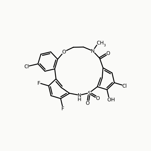 CN1CCOc2ccc(Cl)cc2-c2cc(c(F)cc2F)NS(=O)(=O)c2cc(cc(Cl)c2O)C1=O